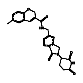 Cc1ccc2c(c1)C=C(C(=O)NCc1ccc3c(c1)CN(C1CCC(=O)NC1=O)C3=O)CO2